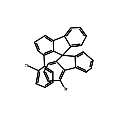 Clc1ccccc1-c1cccc2c1C1(c3ccccc3-2)c2ccccc2-c2c(Br)cccc21